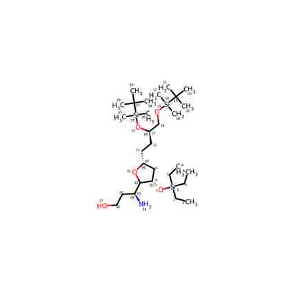 CC[Si](CC)(CC)O[C@H]1C[C@@H](CC[C@H](CO[Si](C)(C)C(C)(C)C)O[Si](C)(C)C(C)(C)C)OC1[C@@H](N)CCO